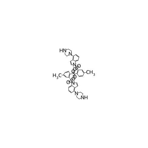 Cc1ccc(S(=O)(=O)c2ccc(C)cc2S(=O)(=O)n2ccc3c(N4CCNCC4)cccc32)c(S(=O)(=O)n2ccc3c(N4CCNCC4)cccc32)c1